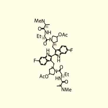 CC[C@H](NC(=O)[C@H](C)NC)C(=O)N1CC(OC(C)=O)C[C@H]1Cc1c(-c2[nH]c3cc(F)ccc3c2C[C@@H]2CC(OC(C)=O)CN2C(=O)[C@H](CC)NC(=O)[C@H](C)NC)[nH]c2cc(F)ccc12